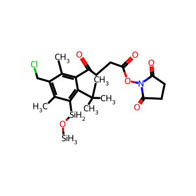 Cc1c(CCl)c(C)c(C(=O)CCC(=O)ON2C(=O)CCC2=O)c(C(C)(C)C)c1[SiH2]O[SiH3]